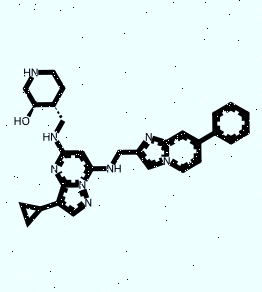 O[C@H]1CNCC[C@@H]1CNc1cc(NCc2cn3ccc(-c4ccccc4)cc3n2)n2ncc(C3CC3)c2n1